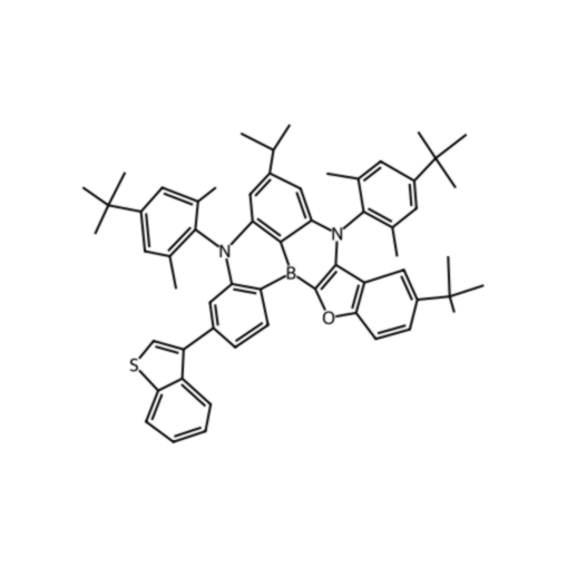 Cc1cc(C(C)(C)C)cc(C)c1N1c2cc(-c3csc4ccccc34)ccc2B2c3oc4ccc(C(C)(C)C)cc4c3N(c3c(C)cc(C(C)(C)C)cc3C)c3cc(C(C)C)cc1c32